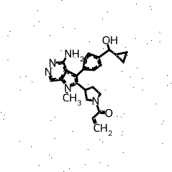 C=CC(=O)N1CCC(c2c(-c3ccc(C(O)C4CC4)cc3)c3c(N)nncc3n2C)C1